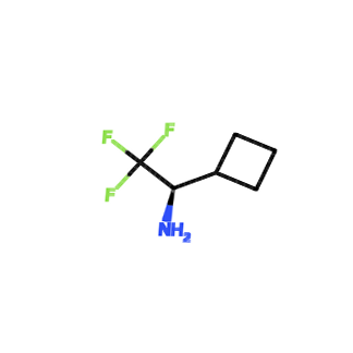 N[C@H](C1CCC1)C(F)(F)F